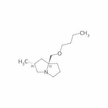 CCCCOC[C@@]12CCCN1C[C@H](C)C2